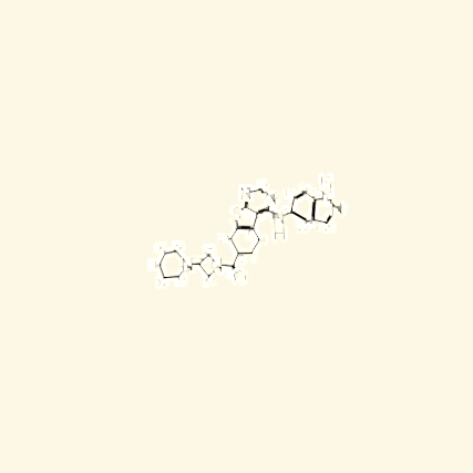 O=C(C1CCc2c(sc3ncnc(Nc4ccc5[nH]ncc5c4)c23)C1)N1CC(N2CCCCC2)C1